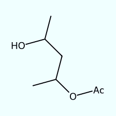 CC(=O)OC(C)CC(C)O